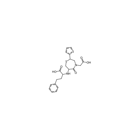 O=C(O)CN1CC(c2cccs2)SCC(NC(CCc2ccccc2)C(=O)O)C1=O